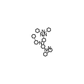 c1ccc(-c2cccc(-n3c4ccc(-n5c6ccccc6c6cccnc65)cc4c4ccc(-c5nc(-c6ccccc6)nc(-c6ccccc6)n5)cc43)c2)cc1